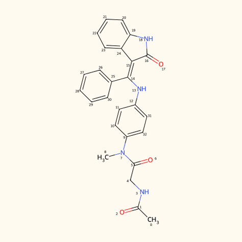 CC(=O)NCC(=O)N(C)c1ccc(N/C(=C2\C(=O)Nc3ccccc32)c2ccccc2)cc1